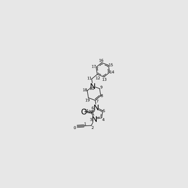 C#CCn1ccn(C2=CCN(Cc3ccccc3)CC2)c1=O